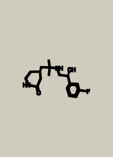 CC(C)(C[C@@H]1CCNC(=O)C1)NC[C@H](O)c1cccc(F)c1